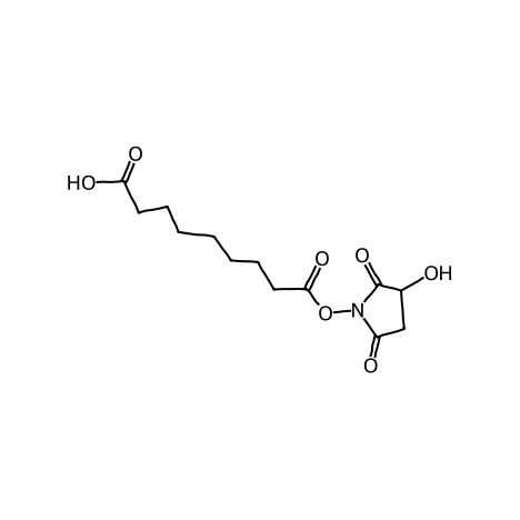 O=C(O)CCCCCCCC(=O)ON1C(=O)CC(O)C1=O